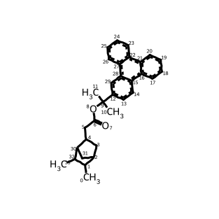 CC1C2CC(CC(=O)OC(C)(C)c3ccc4c5ccccc5c5ccccc5c4c3)C(C2)C1C